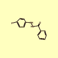 O=C(NNc1ccc(F)cc1)c1ccccc1